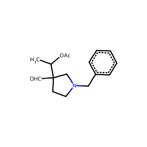 CC(=O)OC(C)C1(C=O)CCN(Cc2ccccc2)C1